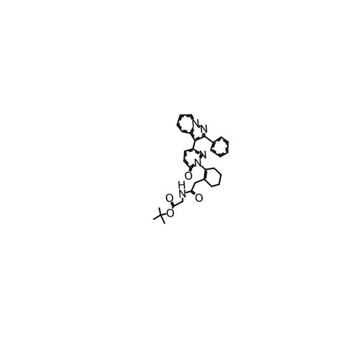 CC(C)(C)OC(=O)CNC(=O)CC1=C(n2nc(-c3c(-c4ccccc4)nn4ccccc34)ccc2=O)CCCC1